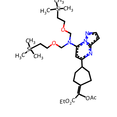 CCOC(=O)C(OC(C)=O)=C1CCC(c2cc(N(COCC[Si](C)(C)C)COCC[Si](C)(C)C)n3nccc3n2)CC1